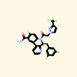 NC(=O)c1cc(-c2cccnc2[C@H](Cc2cc(F)cc(F)c2)NC(=O)Cn2ccc(C(F)(F)F)n2)ccc1F